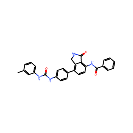 Cc1cccc(NC(=O)Nc2ccc(-c3ccc(NC(=O)c4ccccc4)c4c3CNC4=O)cc2)c1